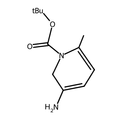 CC1=CC=C(N)CN1C(=O)OC(C)(C)C